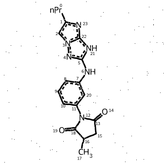 CCCc1cn2nc(Nc3cccc(N4C(=O)CC(C)C4=O)c3)[nH]c2n1